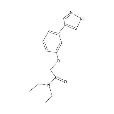 CCN(CC)C(=O)COc1[c]ccc(-c2cn[nH]c2)c1